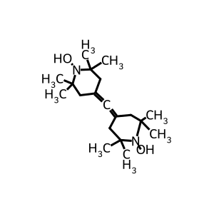 CC1(C)CC(=C=C2CC(C)(C)N(O)C(C)(C)C2)CC(C)(C)N1O